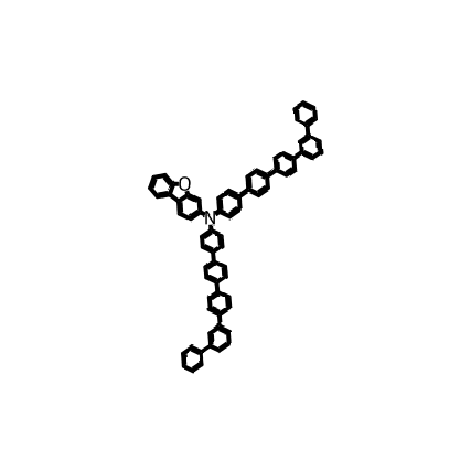 c1ccc(-c2cccc(-c3ccc(-c4ccc(-c5ccc(N(c6ccc(-c7ccc(-c8ccc(-c9cccc(-c%10ccccc%10)c9)cc8)cc7)cc6)c6ccc7c(c6)oc6ccccc67)cc5)cc4)cc3)c2)cc1